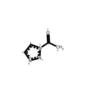 CC(=O)n1ccnn1